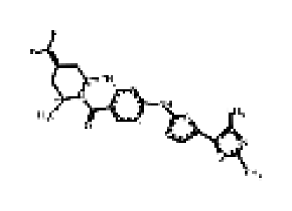 Cc1nc(C)c(-c2csc(Nc3ccc(C(=O)N4[C@H](C)CC(=C(F)F)C[C@@H]4C)cn3)n2)s1